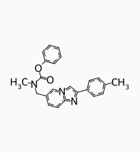 Cc1ccc(-c2cn3cc(CN(C)C(=O)Oc4ccccc4)ccc3n2)cc1